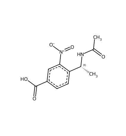 CC(=O)N[C@H](C)c1ccc(C(=O)O)cc1[N+](=O)[O-]